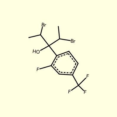 CC(Br)C(O)(c1ccc(C(F)(F)F)cc1F)C(C)Br